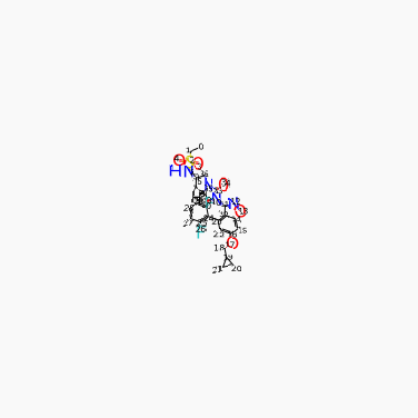 CCS(=O)(=O)N[C@H]1C[C@H]2CN(c3noc4cc(OCC5CC5)cc(-c5c(F)cccc5F)c34)C(=O)N2C1